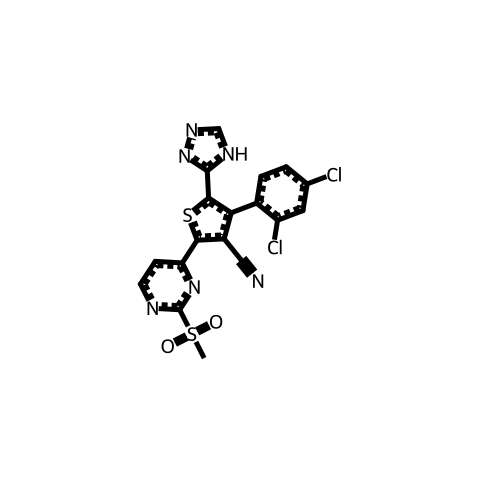 CS(=O)(=O)c1nccc(-c2sc(-c3nnc[nH]3)c(-c3ccc(Cl)cc3Cl)c2C#N)n1